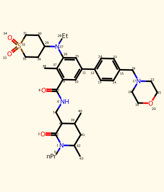 CCCN1C(=O)C(CNC(=O)c2cc(-c3ccc(CN4CCOCC4)cc3)cc(N(CC)C3CCS(=O)(=O)CC3)c2C)C(C)CC1C